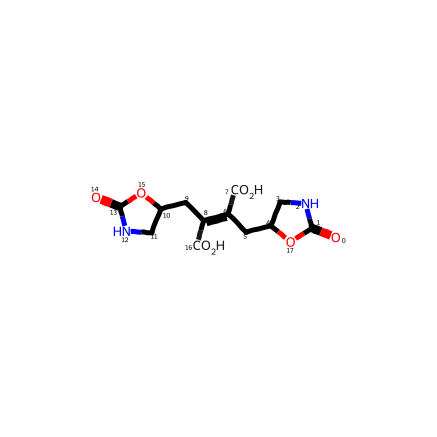 O=C1NCC(C/C(C(=O)O)=C(/CC2CNC(=O)O2)C(=O)O)O1